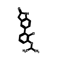 CC(C)Oc1cccc(-c2ccc3c(c2)CC(=O)N3)c1Cl